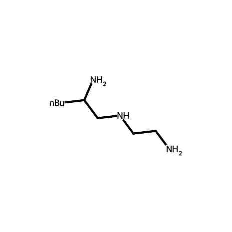 CCCCC(N)CNCCN